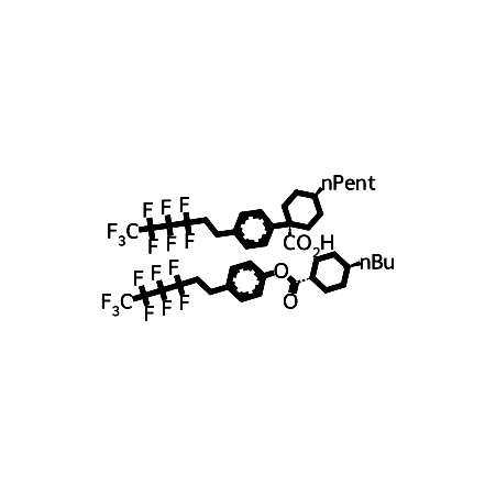 CCCCC[C@H]1CC[C@@](C(=O)O)(c2ccc(CCC(F)(F)C(F)(F)C(F)(F)C(F)(F)F)cc2)CC1.CCCC[C@H]1CC[C@H](C(=O)Oc2ccc(CCC(F)(F)C(F)(F)C(F)(F)C(F)(F)F)cc2)CC1